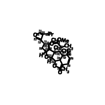 COC(=O)C(C)[C@H]1[C@]2(C)C3=C(C)[C@H](c4cocc4C(C)C)C[C@H]3O[C@@H]2C2OC(=O)[C@]3(C)C=CC(=O)[C@@]1(C)C23